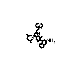 Cc1c(-c2cc(N)cc3cccc(F)c23)ccc2c(N3CC(C)CCC(C)C3)cc(CCC34CCCN3CCC4)nc12